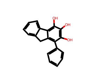 Oc1c(O)c(-c2ccccc2)c2c(c1O)-c1ccccc1C2